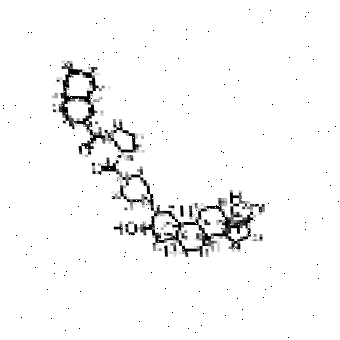 C[C@]12C[C@H](N3CCN(C(=O)[C@@H]4CCCN4C(=O)c4cc5ccccc5cn4)CC3)[C@@H](O)C[C@@H]1CC[C@@H]1[C@@H]2CC[C@]2(C)C(=O)CC[C@@H]12